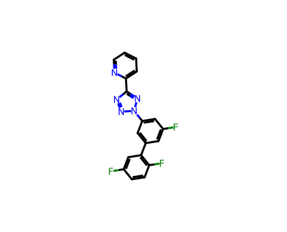 Fc1cc(-c2cc(F)ccc2F)cc(-n2nnc(-c3ccccn3)n2)c1